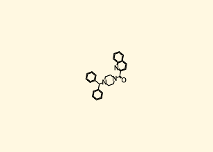 O=C(c1ccc2ccccc2n1)N1CCN(C(c2ccccc2)c2ccccc2)CC1